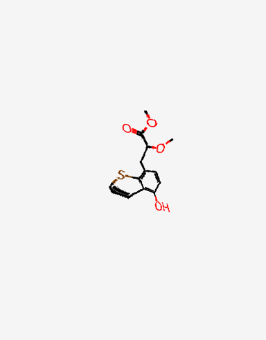 COC(=O)C(Cc1ccc(O)c2ccsc12)OC